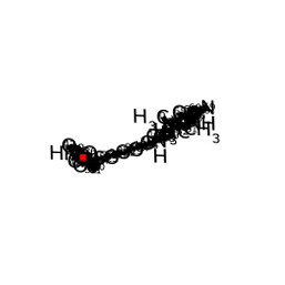 CCc1cc2c(cc1N1CCC(NC(=O)COCCOCCOCCOCCSc3cccc4c3C(=O)N(C3CCC(=O)NC3=O)C4=O)CC1)C(C)(C)c1[nH]c3cc(C#N)ccc3c1C2=O